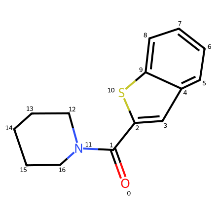 O=C(c1cc2ccccc2s1)N1CCCCC1